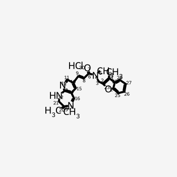 Cc1c(CN(C)C(=O)C=Cc2cnc3c(c2)C=NC(C)(C)CN3)oc2ccccc12.Cl